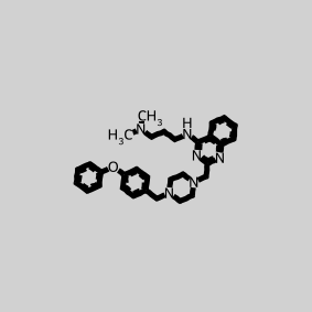 CN(C)CCCNc1nc(CN2CCN(Cc3ccc(Oc4ccccc4)cc3)CC2)nc2ccccc12